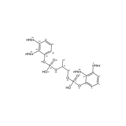 CCCCCCc1cccc(OP(=O)(O)OCC(C)OP(=O)(O)Oc2cccc(CCCCCC)c2CCCCCC)c1CCCCCC